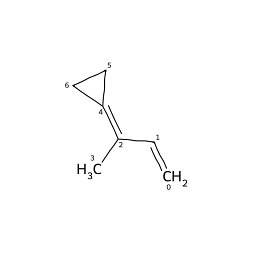 C=CC(C)=C1CC1